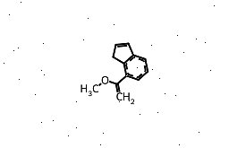 C=C(OC)c1cccc2c1CC=C2